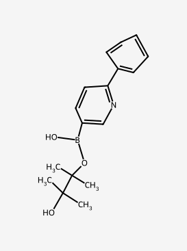 CC(C)(O)C(C)(C)OB(O)c1ccc(-c2ccccc2)nc1